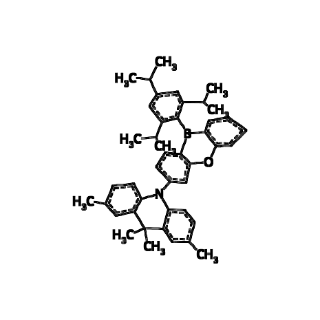 Cc1ccc2c(c1)C(C)(C)c1cc(C)ccc1N2c1ccc2c(c1)Oc1ccccc1B2c1c(C(C)C)cc(C(C)C)cc1C(C)C